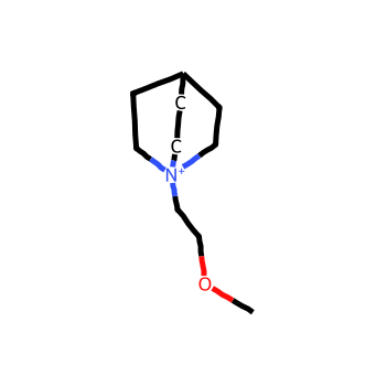 COCC[N+]12CCC(CC1)CC2